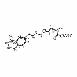 COC(=O)/C(C)=C\COCCCCc1ccc2c(n1)NCCC2